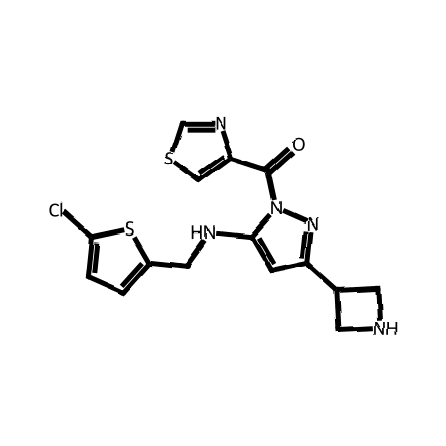 O=C(c1cscn1)n1nc(C2CNC2)cc1NCc1ccc(Cl)s1